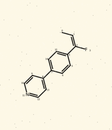 [CH2]/C=C(/F)c1ccc(-c2ccncc2)cc1